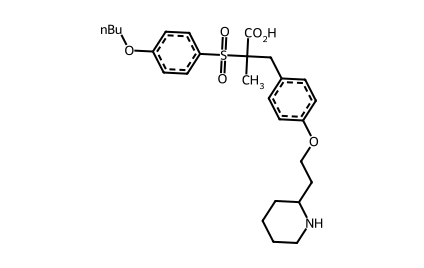 CCCCOc1ccc(S(=O)(=O)C(C)(Cc2ccc(OCCC3CCCCN3)cc2)C(=O)O)cc1